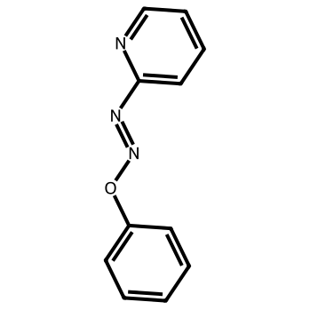 c1ccc(ON=Nc2ccccn2)cc1